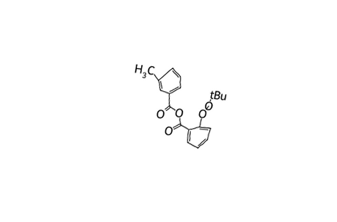 Cc1cccc(C(=O)OC(=O)c2ccccc2OOC(C)(C)C)c1